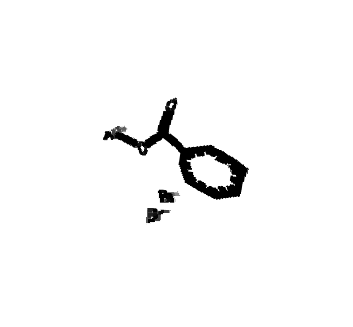 O=C([O][Al+2])c1ccccc1.[Br-].[Br-]